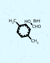 Br.Cc1ccc(C)cc1.O=CO